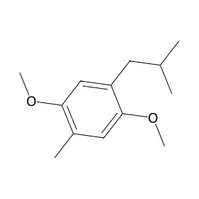 COc1cc(CC(C)C)c(OC)cc1C